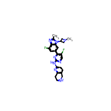 Cc1nc2c(F)cc(-c3nc(Nc4ccc5c(n4)CCNC5)ncc3F)cc2n1C1CN(C)C1